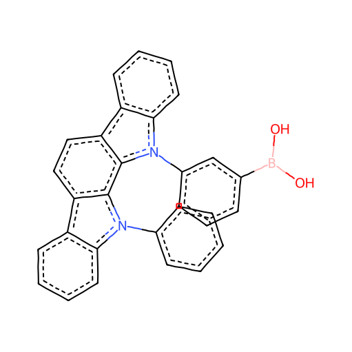 OB(O)c1cccc(-n2c3ccccc3c3ccc4c5ccccc5n(-c5ccccc5)c4c32)c1